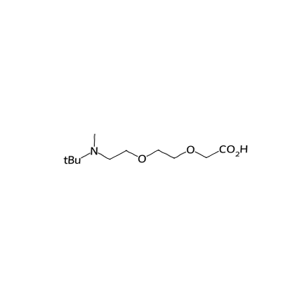 CN(CCOCCOCC(=O)O)C(C)(C)C